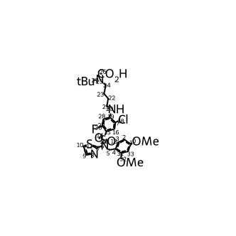 COc1ccc(CN(c2nccs2)S(=O)(=O)c2cc(Cl)c(NCCCCN(C(=O)O)C(C)(C)C)cc2F)c(OC)c1